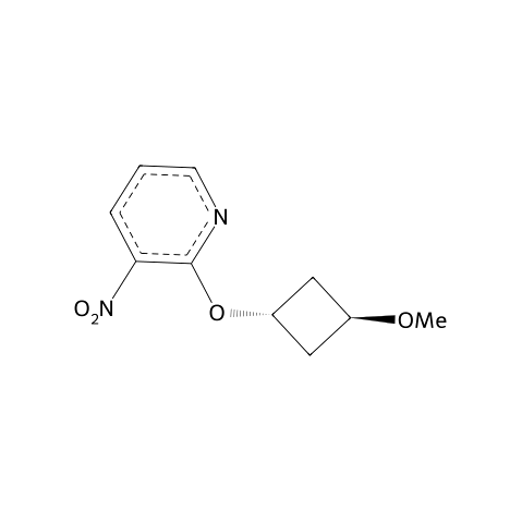 CO[C@H]1C[C@H](Oc2ncccc2[N+](=O)[O-])C1